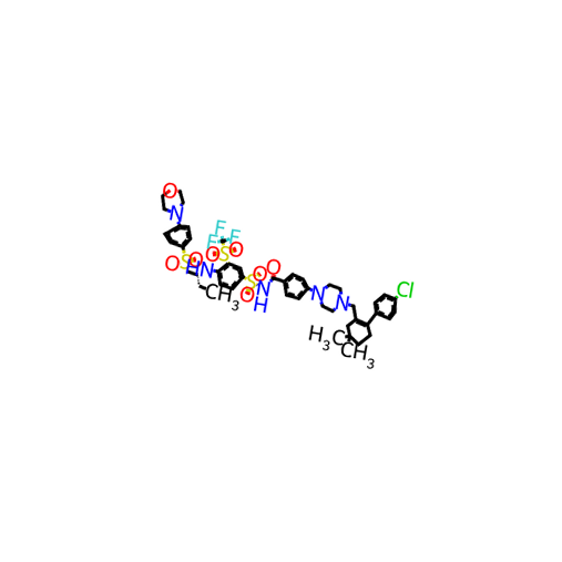 CC[C@H](CS(=O)(=O)c1ccc(N2CCOCC2)cc1)Nc1ccc(S(=O)(=O)NC(=O)c2ccc(N3CCN(CC4=C(c5ccc(Cl)cc5)CCC(C)(C)C4)CC3)cc2)cc1S(=O)(=O)C(F)(F)F